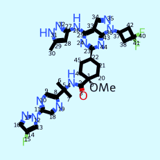 CO[C@]1(C(=O)NC(C)(C)c2cnc(-n3cc(F)cn3)cn2)CC[C@H](c2nc(Nc3cc(C)[nH]n3)c3cnn(C4CC(F)(F)C4)c3n2)CC1